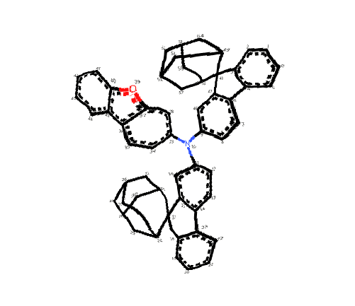 c1ccc2c(c1)-c1ccc(N(c3ccc4c(c3)C3(c5ccccc5-4)C4CC5CC(C4)CC3C5)c3ccc4c(c3)oc3ccccc34)cc1C21C2CC3CC(C2)CC1C3